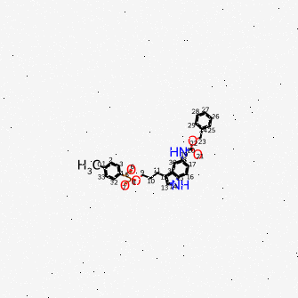 Cc1ccc(S(=O)(=O)OCCCc2c[nH]c3ccc(NC(=O)OCc4ccccc4)cc23)cc1